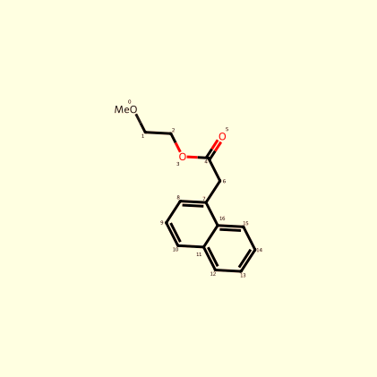 COCCOC(=O)Cc1cccc2ccccc12